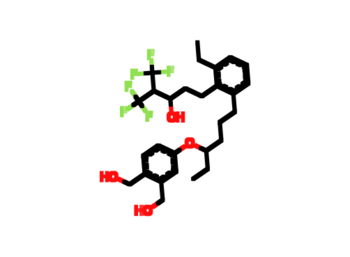 CCc1cccc(CCCC(CC)Oc2ccc(CO)c(CO)c2)c1CCC(O)C(C(F)(F)F)C(F)(F)F